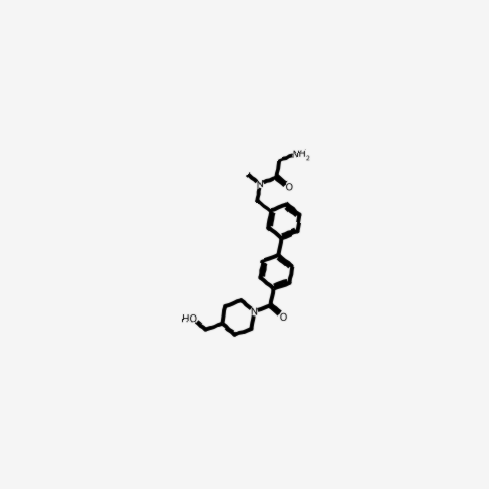 CN(Cc1cccc(-c2ccc(C(=O)N3CCC(CO)CC3)cc2)c1)C(=O)CN